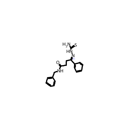 NC(=S)N/N=C(\CCC(=O)NCc1ccccc1)c1ccccc1